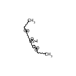 CCCCCC/C=C\COC(=O)CCCCCCCN(CCCc1ccc(C(=O)OC/C=C\CCCCCC)cc1)C(=O)SCCI